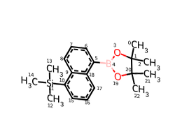 CC1(C)OB(c2cccc3c([Si](C)(C)C)cccc23)OC1(C)C